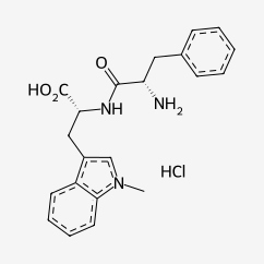 Cl.Cn1cc(C[C@@H](NC(=O)[C@@H](N)Cc2ccccc2)C(=O)O)c2ccccc21